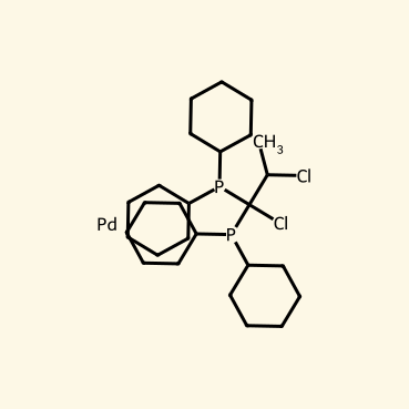 CC(Cl)C(Cl)(P(C1CCCCC1)C1CCCCC1)P(C1CCCCC1)C1CCCCC1.[Pd]